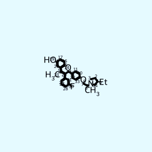 CC[C@@H]1CCN([C@@H](C)COc2ccc(C3Oc4ccc(O)cc4C(C)=C3c3cccc(F)c3)cc2)C1